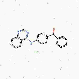 Cl.O=C(c1ccccc1)c1ccc(Nc2ncnc3ccccc23)cc1